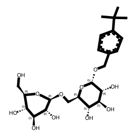 CC(C)(C)c1ccc(CO[C@H]2O[C@H](CO[C@@H]3O[C@H](CO)[C@@H](O)[C@H](O)[C@H]3O)[C@@H](O)[C@H](O)[C@H]2O)cc1